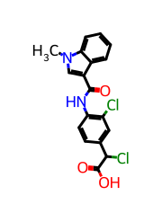 Cn1cc(C(=O)Nc2ccc(C(Cl)C(=O)O)cc2Cl)c2ccccc21